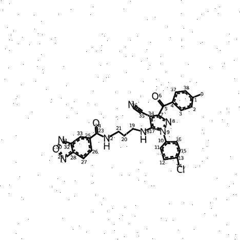 Cc1ccc(C(=O)c2nn(-c3ccc(Cl)cc3)c(NCCCNC(=O)c3ccc4nonc4c3)c2C#N)cc1